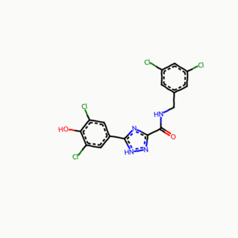 O=C(NCc1cc(Cl)cc(Cl)c1)c1n[nH]c(-c2cc(Cl)c(O)c(Cl)c2)n1